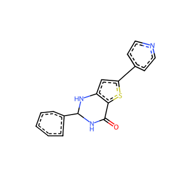 O=C1NC(c2ccccc2)Nc2cc(-c3ccncc3)sc21